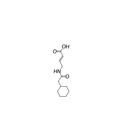 O=C(O)C=CCNC(=O)CC1CCCCC1